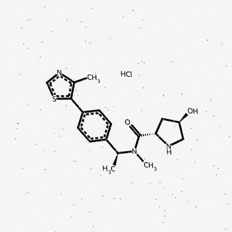 Cc1ncsc1-c1ccc([C@H](C)N(C)C(=O)[C@@H]2C[C@@H](O)CN2)cc1.Cl